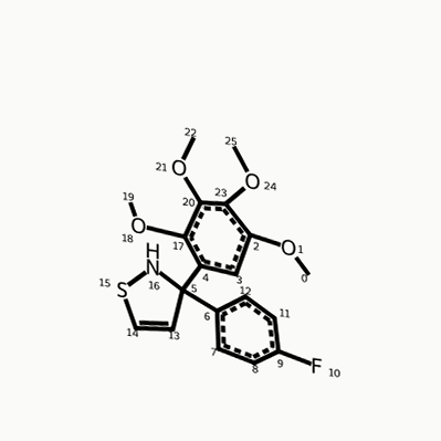 COc1cc(C2(c3ccc(F)cc3)C=CSN2)c(OC)c(OC)c1OC